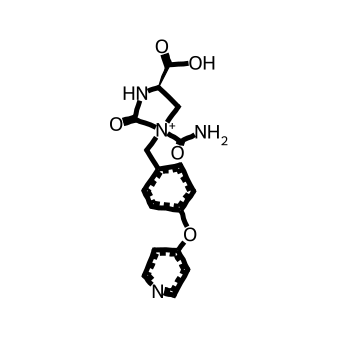 NC(=O)[N+]1(Cc2ccc(Oc3ccncc3)cc2)C[C@H](C(=O)O)NC1=O